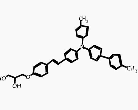 Cc1ccc(-c2ccc(N(c3ccc(C)cc3)c3ccc(C=Cc4ccc(OCC(O)CO)cc4)cc3)cc2)cc1